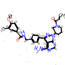 C=CC(=O)N1CCCC(n2nc(-c3ccc(CNC(=O)c4ccc(OCC)c(C(F)(F)F)c4)cc3)c3c(N)ncnc32)C1